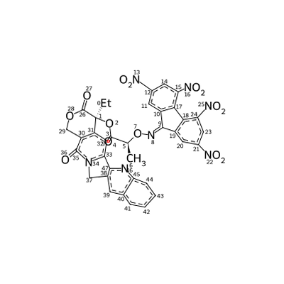 CC[C@@]1(OC(=O)[C@H](C)ON=C2c3cc([N+](=O)[O-])cc([N+](=O)[O-])c3-c3c2cc([N+](=O)[O-])cc3[N+](=O)[O-])C(=O)OCc2c1cc1n(c2=O)Cc2cc3ccccc3nc2-1